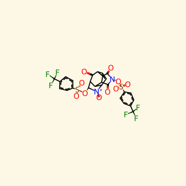 O=C1C2C=CC3C(C4C(=O)N(OS(=O)(=O)c5ccc(C(F)(F)F)cc5)C(=O)C24)C1C(OS(=O)(=O)c1ccc(C(F)(F)F)cc1)[N+]3=O